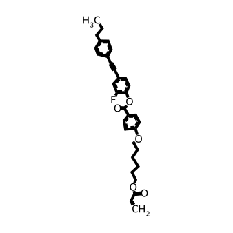 C=CC(=O)OCCCCCCOc1ccc(C(=O)Oc2ccc(C#Cc3ccc(CCC)cc3)cc2F)cc1